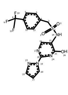 O=S(=O)(Cc1ccc(C(F)(F)F)cc1)Nc1cnc(-n2cccn2)nc1O